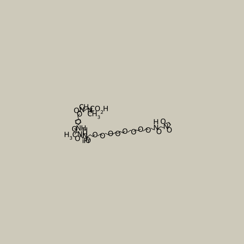 CC(NC(=O)C(NC(=O)CCOCCOCCOCCOCCOCCOCCOCCOCCNC(=O)CCN1C(=O)C=CC1=O)C(C)C)C(=O)Nc1ccc(COC(=O)N(C)CCN(C)C(=O)O)cc1